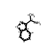 CC(N)c1nsc2ccccc12